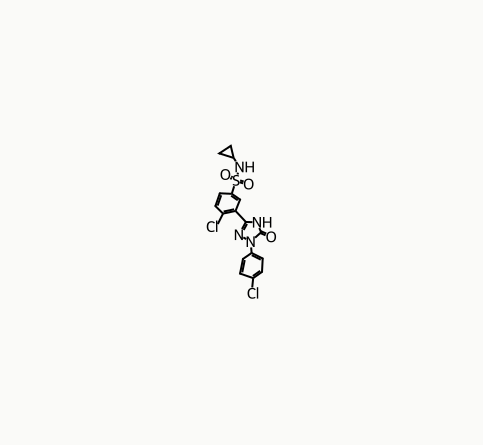 O=c1[nH]c(-c2cc(S(=O)(=O)NC3CC3)ccc2Cl)nn1-c1ccc(Cl)cc1